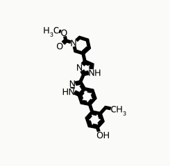 CCc1cc(O)ccc1-c1ccc2c(-c3nc(C4=CCCN(C(=O)OC)C4)c[nH]3)n[nH]c2c1